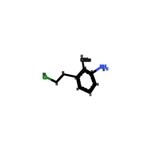 COc1c(N)cccc1CCCl